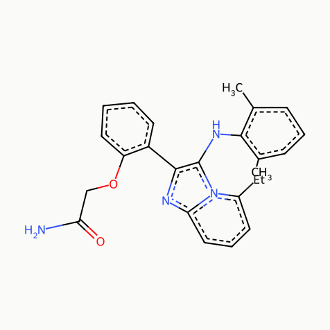 CCc1cccc2nc(-c3ccccc3OCC(N)=O)c(Nc3c(C)cccc3C)n12